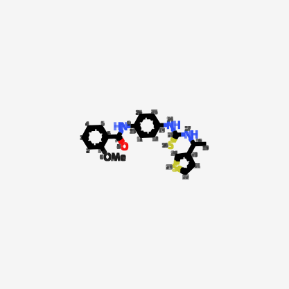 COc1ccccc1C(=O)Nc1ccc(NC(=S)NC(C)c2ccsc2)cc1